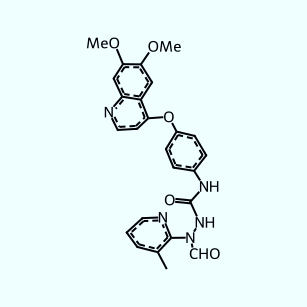 COc1cc2nccc(Oc3ccc(NC(=O)NN(C=O)c4ncccc4C)cc3)c2cc1OC